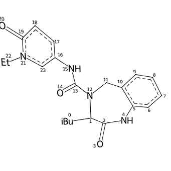 CCC(C)C1C(=O)Nc2ccccc2CN1C(=O)Nc1ccc(=O)n(CC)c1